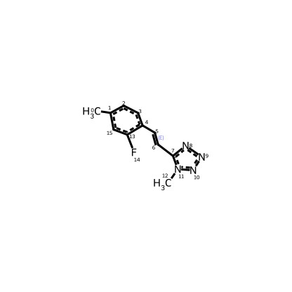 Cc1ccc(/C=C/c2nnnn2C)c(F)c1